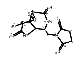 N=C1NC2[C@H](CN3C(=O)CCC3=O)NC(=N)N3CCC(O)C23N1